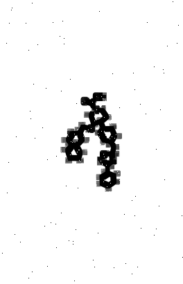 O=C(O)N1CCC(c2ccc(Cc3nc(-c4ccccc4)no3)cc2)C(OCc2ccc3ccccc3c2)C1